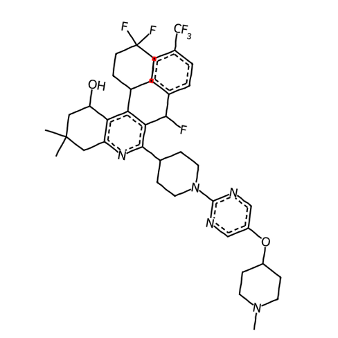 CN1CCC(Oc2cnc(N3CCC(c4nc5c(c(C6CCC(F)(F)CC6)c4C(F)c4ccc(C(F)(F)F)cc4)C(O)CC(C)(C)C5)CC3)nc2)CC1